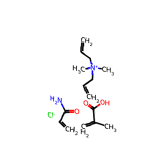 C=C(C)C(=O)O.C=CC(N)=O.C=CC[N+](C)(C)CC=C.[Cl-]